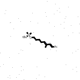 CC(=O)/C=C/C(C)=C/CCCCO[Si](C)(C)C(C)(C)C